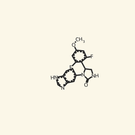 COc1cc(F)c(C2CNC(=O)N2c2ccc3[nH]cnc3c2)c(F)c1